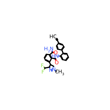 C#Cc1ccc(-c2ccccc2NC(=O)c2c(C(N)=O)cccc2C2CN(C)N=C2C(F)F)cc1